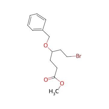 COC(=O)CCC(CCBr)OCc1ccccc1